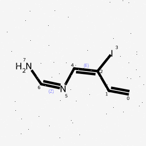 C=C/C(I)=C\N=C/N